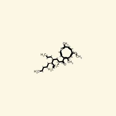 C=C[C@@H](CCCCC)[C@@H](CCC)C[C@@H](C)C(=O)c1ccnc(C)ccc(OC)cc1C